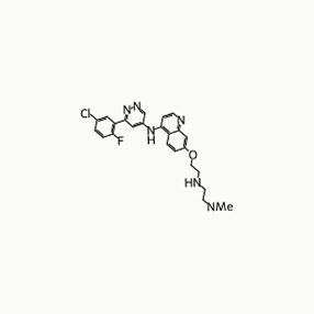 CNCCNCCOc1ccc2c(Nc3cnnc(-c4cc(Cl)ccc4F)c3)ccnc2c1